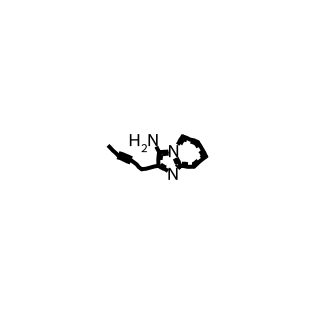 CC#CCc1nc2ccccn2c1N